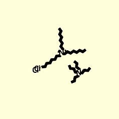 CCCCCCCC[N+](C)(CCCCCCCC)CCCCCCCC.CCCC[N+](CCCC)(CCCC)CCCC.[Cl-].[Cl-]